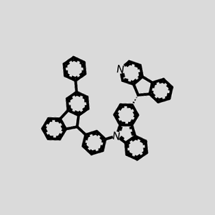 c1ccc(-c2ccc3c(c2)-c2ccccc2C3c2cccc(-n3c4ccccc4c4cc([C@H]5c6ccccc6-c6ccncc65)ccc43)c2)cc1